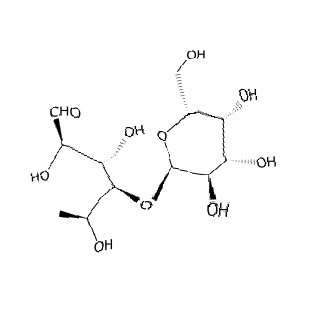 C[C@H](O)[C@H](O[C@H]1O[C@H](CO)[C@H](O)[C@H](O)[C@H]1O)[C@@H](O)[C@@H](O)C=O